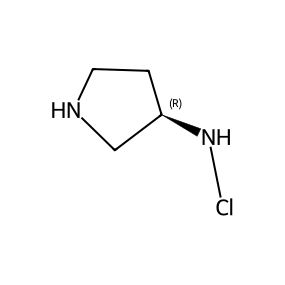 ClN[C@@H]1CCNC1